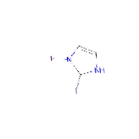 IC1NC=CN1I